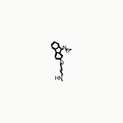 CNC/C=C/COc1ccc2c(c1)/C(=N\OC)c1ccccc1-2